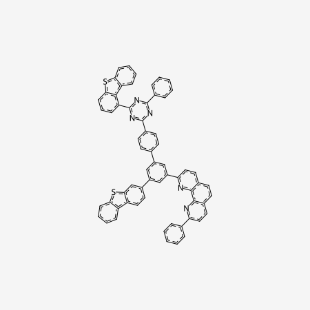 c1ccc(-c2ccc3ccc4ccc(-c5cc(-c6ccc(-c7nc(-c8ccccc8)nc(-c8cccc9sc%10ccccc%10c89)n7)cc6)cc(-c6ccc7c(c6)sc6ccccc67)c5)nc4c3n2)cc1